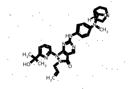 C=CCn1c(=O)c2cnc(Nc3ccc(N(C)[C@H]4CN5CCC4CC5)cc3)nc2n1-c1cccc(C(C)(C)O)n1